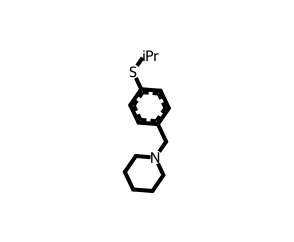 CC(C)Sc1ccc(CN2CCCCC2)cc1